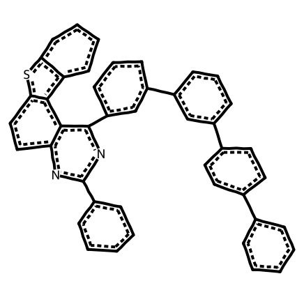 c1ccc(-c2ccc(-c3cccc(-c4cccc(-c5nc(-c6ccccc6)nc6ccc7sc8ccccc8c7c56)c4)c3)cc2)cc1